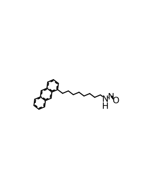 O=NNCCCCCCCCc1cccc2cc3ccccc3cc12